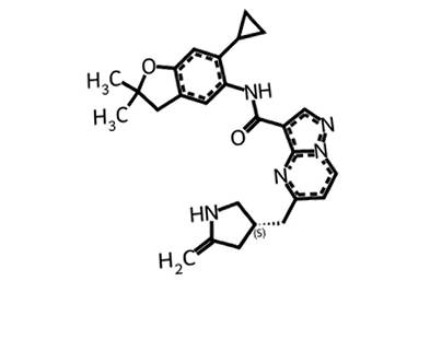 C=C1C[C@@H](Cc2ccn3ncc(C(=O)Nc4cc5c(cc4C4CC4)OC(C)(C)C5)c3n2)CN1